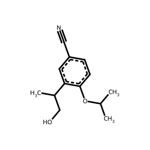 C[C](CO)c1cc(C#N)ccc1OC(C)C